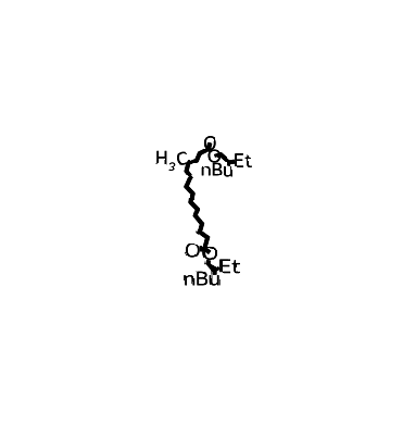 CCCCC(CC)COC(=O)CCCCCCCCCCC(C)CCC(=O)OCC(CC)CCCC